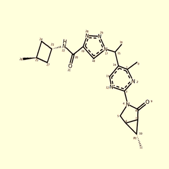 Cc1nc(N2CC3C(C2=O)[C@@H]3C)ncc1C(C)n1cc(C(=O)N[C@H]2C[C@H](C)C2)nn1